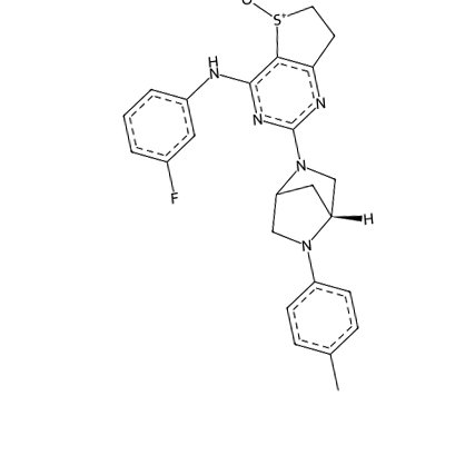 Cc1ccc(N2CC3C[C@@H]2CN3c2nc3c(c(Nc4cccc(F)c4)n2)[S+]([O-])CC3)cc1